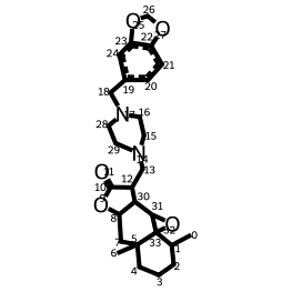 CC1CCCC2(C)CC3OC(=O)C(CN4CCN(Cc5ccc6c(c5)OCO6)CC4)C3C3OC132